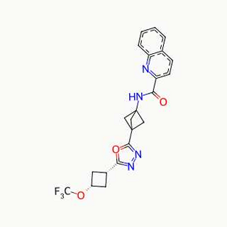 O=C(NC12CC(c3nnc([C@H]4C[C@@H](OC(F)(F)F)C4)o3)(C1)C2)c1ccc2ccccc2n1